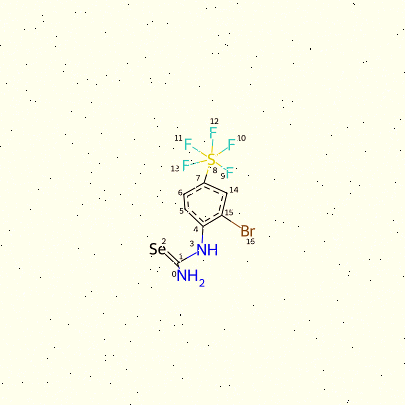 NC(=[Se])Nc1ccc(S(F)(F)(F)(F)F)cc1Br